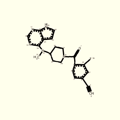 C#Cc1ccc(C(=O)N2CCC(N(C)c3ncnc4[nH]ccc34)CC2)c(F)c1